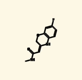 CNC(=O)C=C1COc2cc(F)ccc2N1